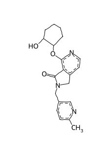 Cc1ccc(CN2Cc3ccnc(OC4CCCCC4O)c3C2=O)cn1